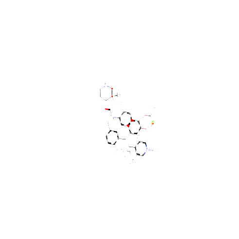 CCOc1cc([C@H](Cc2c(Cl)c[n+]([O-])cc2Cl)c2cc(CN(C(=O)O[C@H]3CN4CCC3CC4)c3ccccc3F)ccc2C(=O)O)ccc1OC(F)F